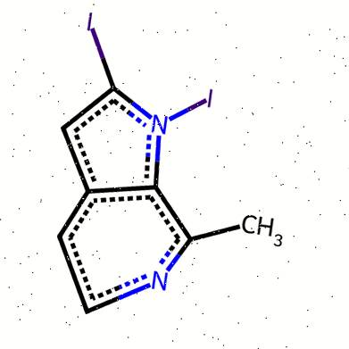 Cc1nccc2cc(I)n(I)c12